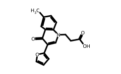 Cc1ccc2c(c1)c(=O)c(-c1ccco1)cn2CCC(=O)O